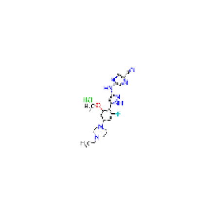 CCN1CCN(c2cc(F)c(-c3cc(Nc4cnc(C#N)cn4)n[nH]3)c(OC)c2)CC1.Cl